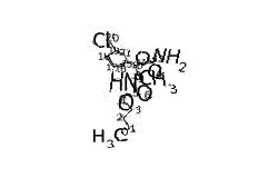 CCCCOC(=O)N[C@@H](C)C(OC(N)=O)c1cccc(Cl)c1